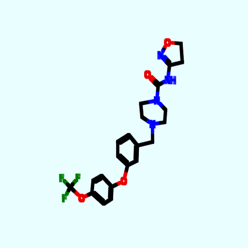 O=C(NC1=NOCC1)N1CCN(Cc2cccc(Oc3ccc(OC(F)(F)F)cc3)c2)CC1